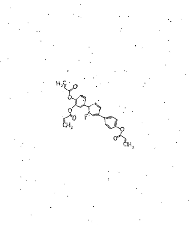 C=CC(=O)Oc1ccc(-c2ccc(-c3ccc(OC(=O)C=C)c(OC(=O)C=C)c3)c(F)c2)cc1